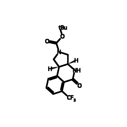 CC(C)(C)OC(=O)N1C[C@@H]2c3cccc(C(F)(F)F)c3C(=O)N[C@@H]2C1